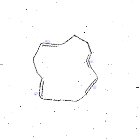 [C]1=C/C=C\CC/C=C\CC/C=C/CC/1